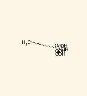 CCCCCCCCCCCCCCCC(=O)C(OP(=O)(O)O)[C@H](CO)OO